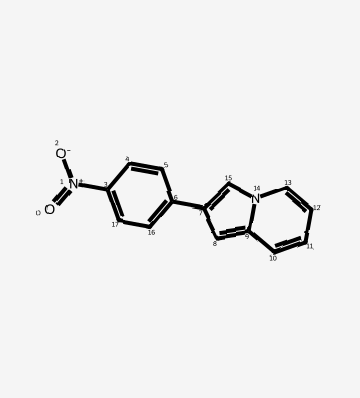 O=[N+]([O-])c1ccc(-c2cc3ccccn3c2)cc1